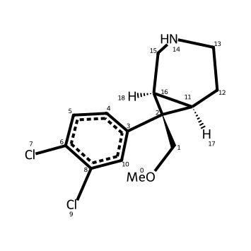 COC[C@]1(c2ccc(Cl)c(Cl)c2)[C@@H]2CCNC[C@@H]21